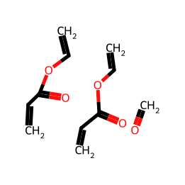 C=COC(=O)C=C.C=COC(=O)C=C.C=O